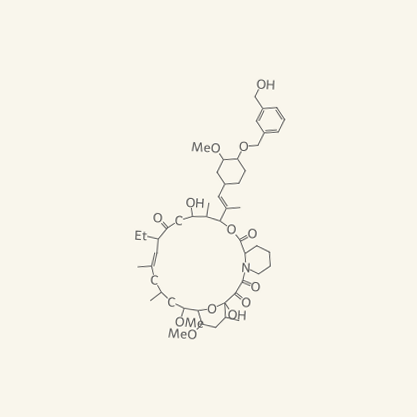 CCC1/C=C(\C)CC(C)CC(OC)C2OC(O)(C(=O)C(=O)N3CCCCC3C(=O)OC(C(C)=CC3CCC(OCc4cccc(CO)c4)C(OC)C3)C(C)C(O)CC1=O)C(C)CC2OC